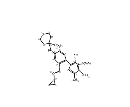 COc1c(C)c(C)cc(-c2ccc(NC3(C(=O)O)CCOCC3)cc2COC2CC2)c1F